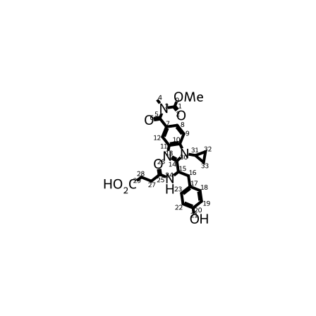 COC(=O)N(C)C(=O)c1ccc2c(c1)nc(C(Cc1ccc(O)cc1)NC(=O)CCC(=O)O)n2C1CC1